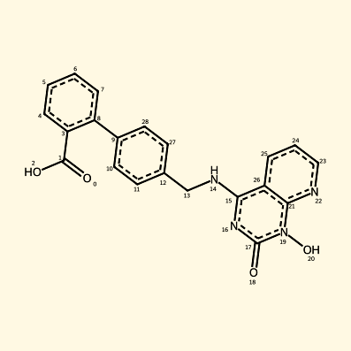 O=C(O)c1ccccc1-c1ccc(CNc2nc(=O)n(O)c3ncccc23)cc1